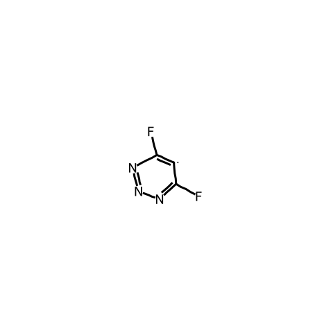 Fc1[c]c(F)nnn1